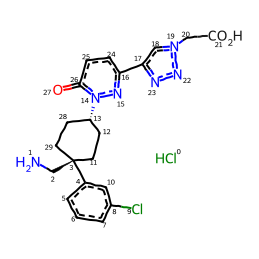 Cl.NC[C@]1(c2cccc(Cl)c2)CC[C@@H](n2nc(-c3cn(CC(=O)O)nn3)ccc2=O)CC1